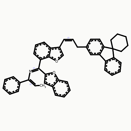 C/C=C(\N=C(/c1cc2ccccc2o1)c1cccc2c(/C=C\Cc3ccc4c(c3)-c3ccccc3C43CCCCC3)coc12)c1ccccc1